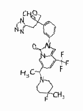 CC(c1cc(C(F)(F)F)c2cn(-c3cccc(C4(Cc5nncn5C)COC4)c3)c(=O)n2c1)N1CCC(C)(F)CC1